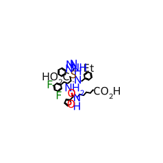 CCc1cccc(CNC[C@H](C(N)Cc2cc(F)cc(F)c2)[C@H](SC2NN=NN2c2ccccc2)C(=O)O)c1.O=C(O)CCCCCNC(=O)c1ccco1